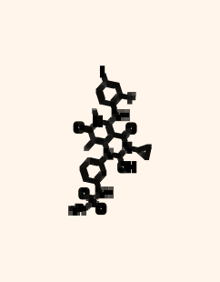 CCCS(=O)(=O)Nc1cccc(N2c3c(c(Nc4ccc(I)cc4F)n(C)c(=O)c3C)C(=O)N(C3CC3)C2O)c1